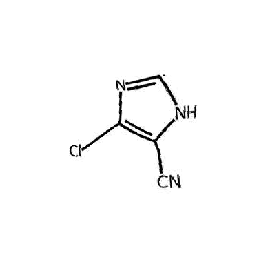 N#Cc1[nH][c]nc1Cl